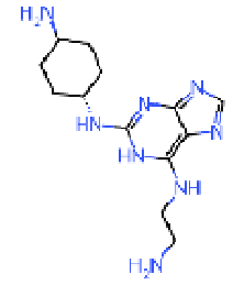 NCCNc1[nH]c(N[C@H]2CC[C@H](N)CC2)nc2ncnc1-2